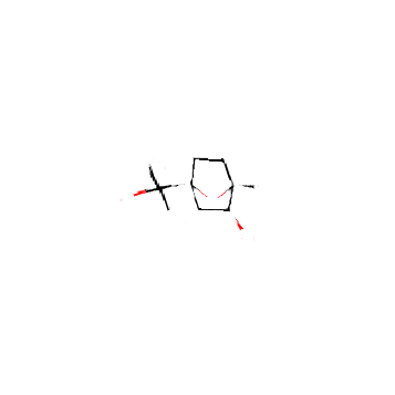 CC(C)(O)[C@@]12CC[C@@](C)(O1)[C@@H](O)C2